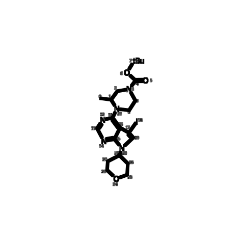 CC1CN(C(=O)OC(C)(C)C)CCN1c1ncnc2c1c(I)cn2C1CCOCC1